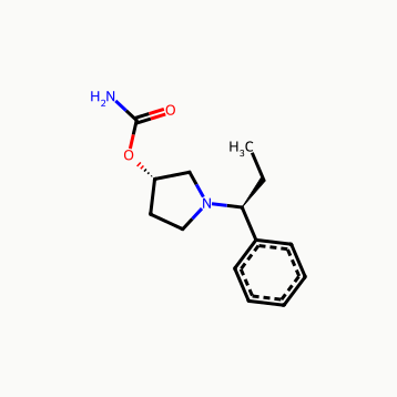 CC[C@@H](c1ccccc1)N1CC[C@H](OC(N)=O)C1